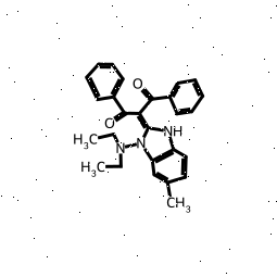 CCN(CC)N1C(=C(C(=O)c2ccccc2)C(=O)c2ccccc2)Nc2ccc(C)cc21